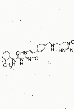 Cc1ccccc1NC(=O)Nc1nc(=O)c(-c2ccc(CNCCCN(C)C(=N)N)cc2)c[nH]1